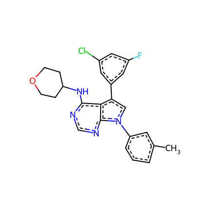 Cc1cccc(-n2cc(-c3cc(F)cc(Cl)c3)c3c(NC4CCOCC4)ncnc32)c1